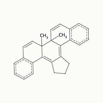 CC12C=Cc3ccccc3C1=C1CCCC1=C1c3ccccc3C=CC12C